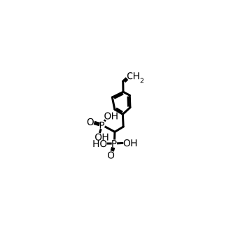 C=Cc1ccc(CC(P(=O)(O)O)P(=O)(O)O)cc1